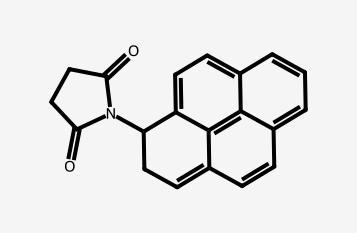 O=C1CCC(=O)N1C1CC=c2ccc3cccc4ccc1c2c43